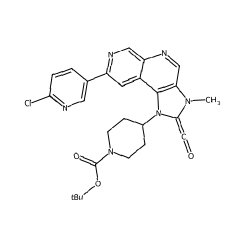 CN1C(=C=O)N(C2CCN(C(=O)OC(C)(C)C)CC2)c2c1cnc1cnc(-c3ccc(Cl)nc3)cc21